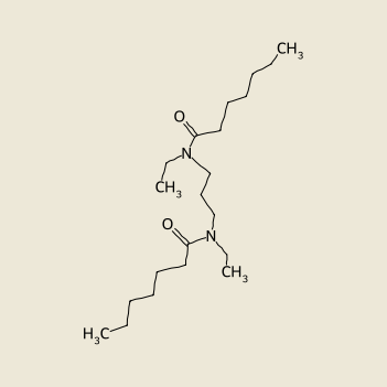 CCCCCCC(=O)N(CC)CCCN(CC)C(=O)CCCCCC